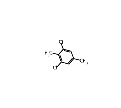 FC(F)(F)c1cc(Cl)c(C(F)(F)F)c(Cl)c1